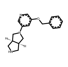 c1ccc(COc2cncc(N3C[C@H]4CNC[C@H]4C3)c2)cc1